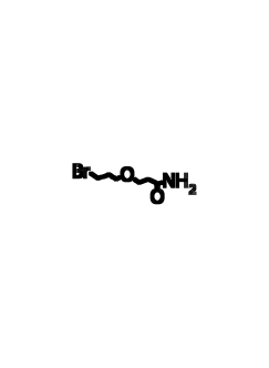 NC(=O)CCOCCCBr